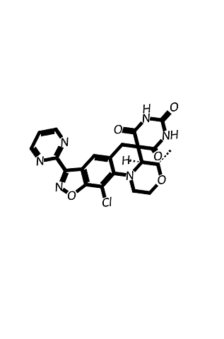 C[C@@H]1OCCN2c3c(cc4c(-c5ncccn5)noc4c3Cl)CC3(C(=O)NC(=O)NC3=O)[C@@H]12